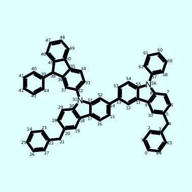 c1ccc(Cc2ccc3c(c2)c2cc(-c4ccc5c6cc(Cc7ccccc7)ccc6n(-c6ccc7c(c6)C(c6ccccc6)c6ccccc6-7)c5c4)ccc2n3-c2ccccc2)cc1